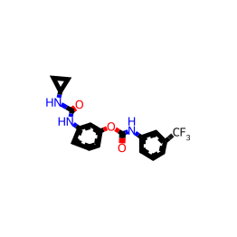 O=C(Nc1cccc(OC(=O)Nc2cccc(C(F)(F)F)c2)c1)NC1CC1